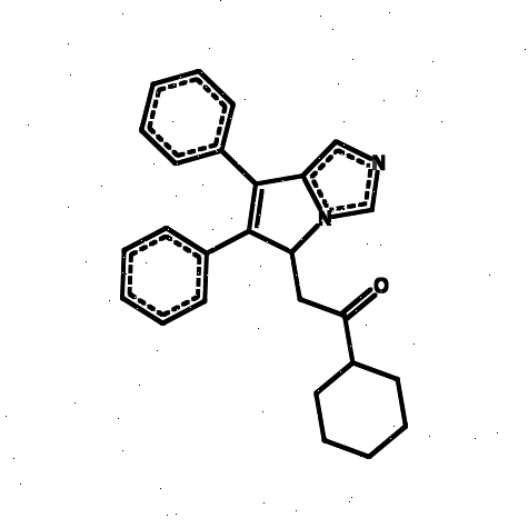 O=C(CC1C(c2ccccc2)=C(c2ccccc2)c2cncn21)C1CCCCC1